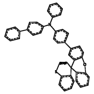 c1ccc(-c2ccc(N(c3ccccc3)c3ccc(-c4ccc5c(c4)C4(c6ccccc6O5)c5ccccc5Sc5ccccc54)cc3)cc2)cc1